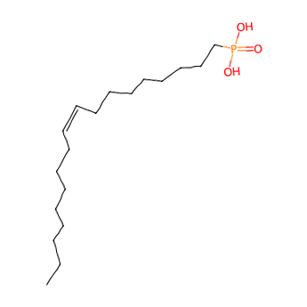 CCCCCCCC/C=C\CCCCCCCCP(=O)(O)O